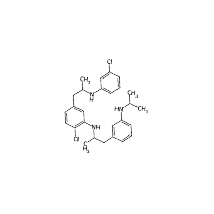 CC(C)Nc1cccc(CC(C)Nc2cc(CC(C)Nc3cccc(Cl)c3)ccc2Cl)c1